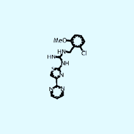 COc1cccc(Cl)c1CNC(=N)Nc1nc(-c2ncccn2)cs1